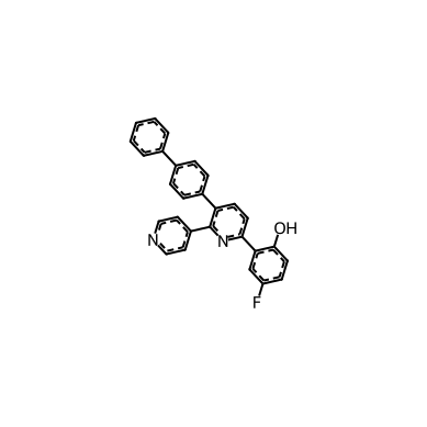 Oc1ccc(F)cc1-c1ccc(-c2ccc(-c3ccccc3)cc2)c(-c2ccncc2)n1